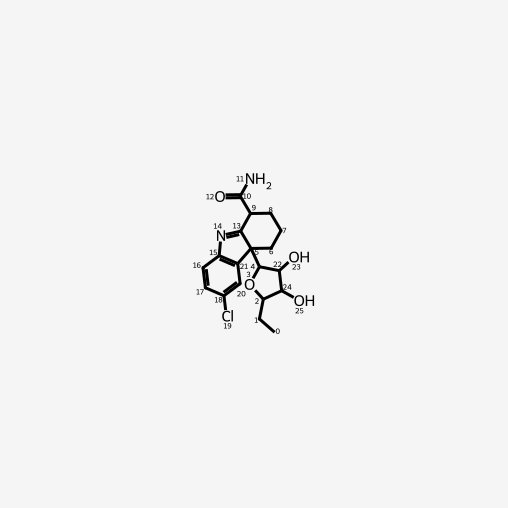 CCC1OC(C23CCCC(C(N)=O)C2=Nc2ccc(Cl)cc23)C(O)C1O